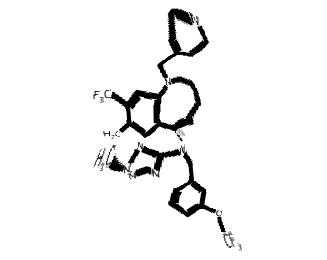 Cc1cc2c(cc1C(F)(F)F)N(Cc1ccncc1)CCC[C@@H]2N(Cc1cccc(OC(F)(F)F)c1)c1nnn(C)n1